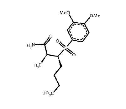 COc1ccc(S(=O)(=O)[C@@H](CCCC(=O)O)[C@@H](C)C(N)=O)cc1OC